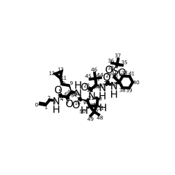 C=CCNC(=O)C(=O)[C@@H](CCC1CC1)NC(=O)[C@@H]1[C@@H]2[C@H](CN1C(=O)[C@@H](NC(=O)NC1(CS(=O)(=O)C(C)(C)C)CCCCC1)C(C)(C)C)C2(C)C